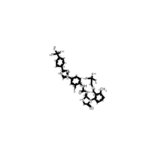 Cc1cccc(N2C(=O)CSC2=NC(=O)Nc2ccc(-n3cnc(-c4ccc(C(F)(F)F)cc4)n3)cc2F)c1COCC(F)(F)F